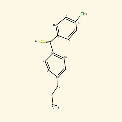 CCCc1ccc(C(=S)c2ccc(Cl)cc2)cc1